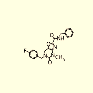 CN1C(=O)N(Cc2ccc(F)cc2)Cc2oc(C(=O)NCc3ccccc3)nc21